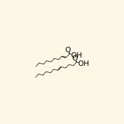 CCCCCCC=CCCCC(=O)O.CCCCCCCC=CC(=O)O